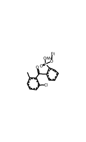 CCOP(=O)(OC)c1ccccc1C(=O)c1c(C)cccc1Cl